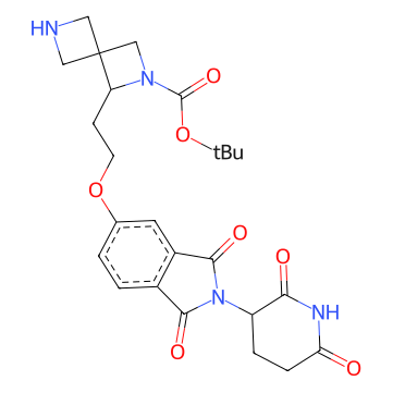 CC(C)(C)OC(=O)N1CC2(CNC2)C1CCOc1ccc2c(c1)C(=O)N(C1CCC(=O)NC1=O)C2=O